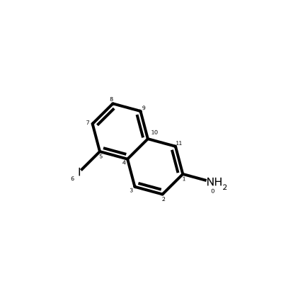 Nc1ccc2c(I)cccc2c1